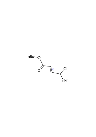 CCCCOC(=O)/C=C/C(Cl)CCC